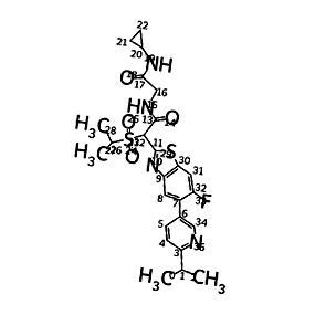 CC(C)c1ccc(-c2cc3nc(C(C(=O)NCC(=O)NC4CC4)S(=O)(=O)C(C)C)sc3cc2F)cn1